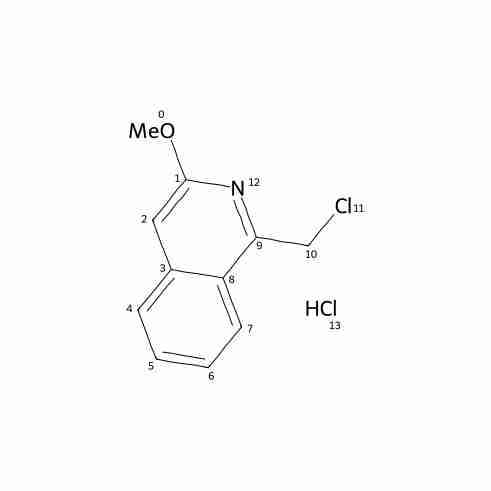 COc1cc2ccccc2c(CCl)n1.Cl